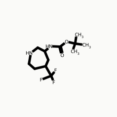 CC(C)(C)OC(=O)NC1CNCCC(C(F)(F)F)C1